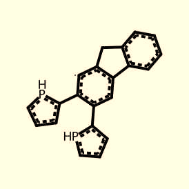 [c]1c2c(cc(-c3ccc[pH]3)c1-c1ccc[pH]1)-c1ccccc1C2